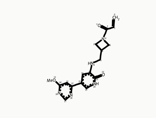 C=CC(=O)N1CC(CNc2cc(-c3cc(OC)ncn3)c[nH]c2=O)C1